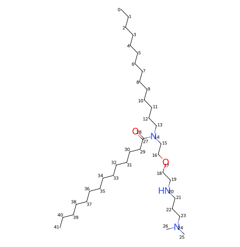 CCCCCCCCCCCCCCN(CCOCCNCCCN(C)C)C(=O)CCCCCCCCCCCCC